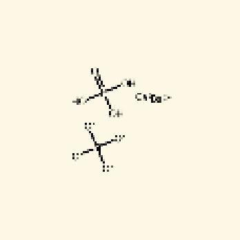 O=P(O)(O)O.[Ba+2].[Ca+2].[O-][Si]([O-])([O-])[O-]